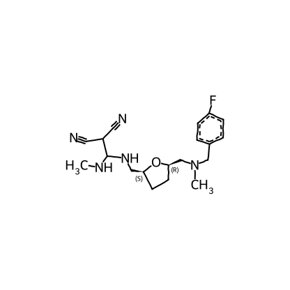 CNC(NC[C@@H]1CC[C@H](CN(C)Cc2ccc(F)cc2)O1)C(C#N)C#N